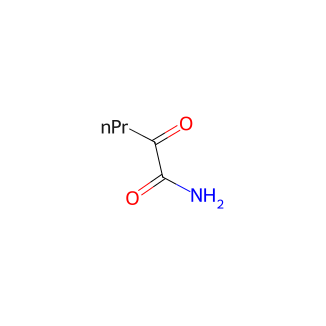 [CH2]CCC(=O)C(N)=O